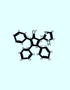 O=C1C(c2ccccc2)=C(c2ccccc2)C(c2ccccc2)=C1c1ncc[nH]1